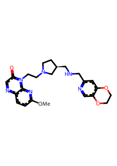 COc1ccc2ncc(=O)n(CCN3CC[C@@H](CNCc4cc5c(cn4)OCCO5)C3)c2n1